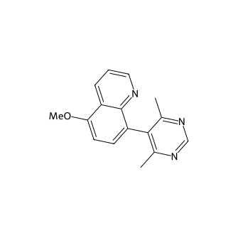 COc1ccc(-c2c(C)ncnc2C)c2ncccc12